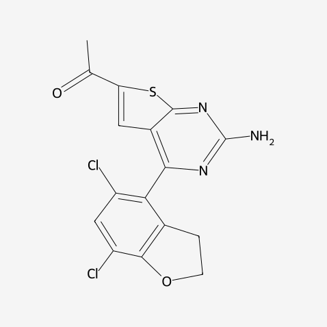 CC(=O)c1cc2c(-c3c(Cl)cc(Cl)c4c3CCO4)nc(N)nc2s1